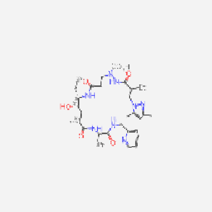 CCC(Cn1nc(C)cc1C)C(=O)NN(CCC(=O)N[C@@H](CC(C)C)[C@@H](O)C[C@@H](C)C(=O)NC(C(=O)NCc1ccccn1)C(C)C)C(=O)O